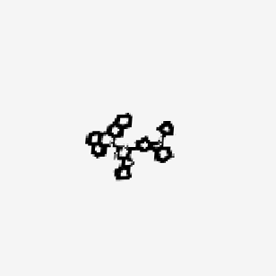 c1ccc(-n2c3ccccc3c3cc(-c4nc(N5c6cc7ccccc7cc6-c6cccc7cccc5c67)nc5c4sc4ccccc45)ccc32)cc1